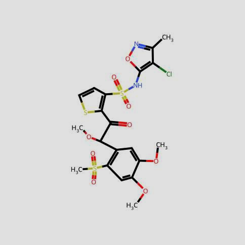 COc1cc(C(OC)C(=O)c2sccc2S(=O)(=O)Nc2onc(C)c2Cl)c(S(C)(=O)=O)cc1OC